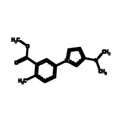 COC(=O)c1cc(-n2ccc(N(C)C)c2)ccc1C